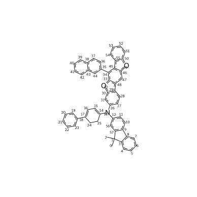 CC1(C)c2ccccc2-c2ccc(N(C3=CC=C(c4ccccc4)CC3)c3ccc4c(c3)oc3c(-c5ccc6ccccc6c5)c5c(cc34)oc3ccccc35)cc21